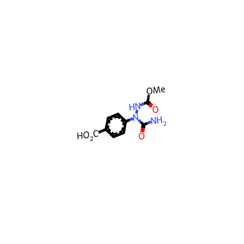 COC(=O)NN(C(N)=O)c1ccc(C(=O)O)cc1